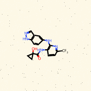 O=C(Nc1ccc(C(F)(F)F)nc1Nc1ccc2[nH]ncc2c1)C1(O)CC1